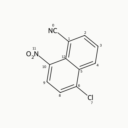 N#Cc1cccc2c(Cl)ccc([N+](=O)[O-])c12